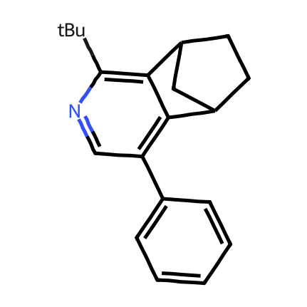 CC(C)(C)c1ncc(-c2ccccc2)c2c1C1CCC2C1